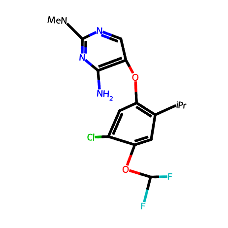 CNc1ncc(Oc2cc(Cl)c(OC(F)F)cc2C(C)C)c(N)n1